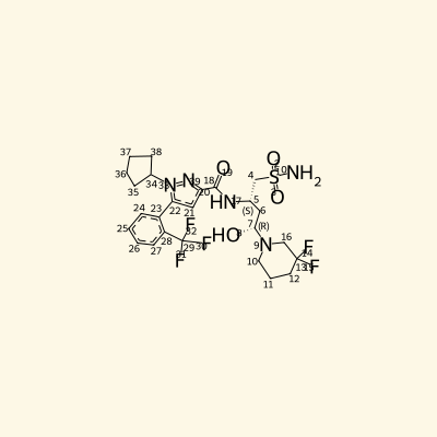 NS(=O)(=O)C[C@H](C[C@@H](O)N1CCCC(F)(F)C1)NC(=O)c1cc(-c2ccccc2C(F)(F)F)n(C2CCCC2)n1